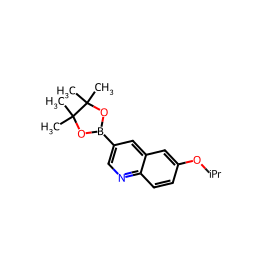 CC(C)Oc1ccc2ncc(B3OC(C)(C)C(C)(C)O3)cc2c1